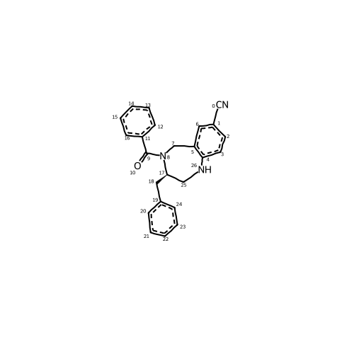 N#Cc1ccc2c(c1)CN(C(=O)c1ccccc1)[C@H](Cc1ccccc1)CN2